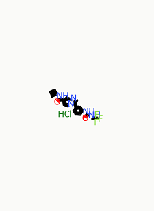 Cl.O=C(NCC(F)(F)F)Nc1cccc(-c2cnc3cc(C(=O)NC4=CC=C4)ccn23)c1